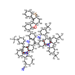 CC(C)(C)c1ccc(N2c3cc(-n4c5c(c6ccccc64)/C=C(/C#N)C/C=C\C5)ccc3B3c4ccc(-n5c6ccc(C(C)(C)C)cc6c6cc(C(C)(C)C)ccc65)cc4N(c4ccc(C(C)(C)C)cc4-c4ccccc4)c4cc(-c5cccc6c5oc5ccc7sc8ccccc8c7c56)cc2c43)c(-c2ccccc2)c1